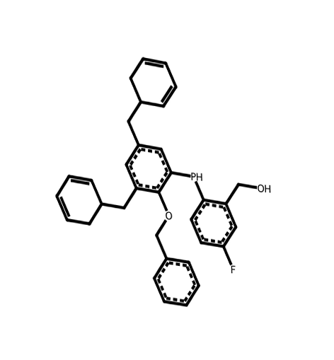 OCc1cc(F)ccc1Pc1cc(CC2C=CC=CC2)cc(CC2C=CC=CC2)c1OCc1ccccc1